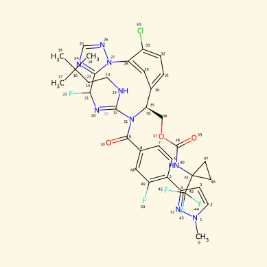 Cn1ccc(-c2ccc(C(=O)N3/C(NCCC(C)(C)C)=N/C(F)c4ncnn4-c4cc(ccc4Cl)[C@H]3COC(=O)NC3(C(F)(F)F)CC3)cc2F)n1